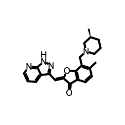 Cc1ccc2c(c1CN1CCC[C@H](C)C1)O/C(=C\c1n[nH]c3ncccc13)C2=O